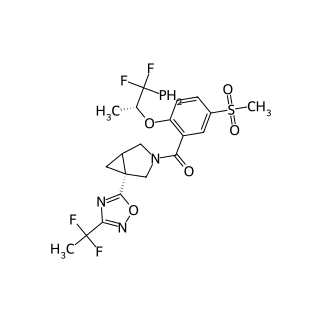 C[C@@H](Oc1ccc(S(C)(=O)=O)cc1C(=O)N1CC2C[C@]2(c2nc(C(C)(F)F)no2)C1)C(F)(F)P